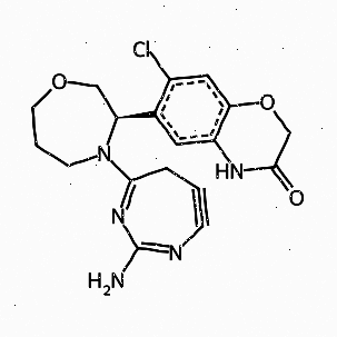 NC1=NC#CCC(N2CCCOC[C@H]2c2cc3c(cc2Cl)OCC(=O)N3)=N1